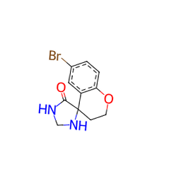 O=C1NCNC12CCOc1ccc(Br)cc12